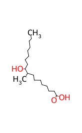 CCCCCCCCC(O)C(C)CCCCCCCC(=O)O